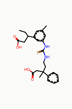 CCC(CC(=O)O)c1cc(C)cc(NC(=S)NCCC(C)(CC(=O)O)c2ccccc2)c1